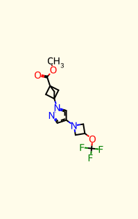 COC(=O)C12CC(n3cc(N4CC(OC(F)(F)F)C4)cn3)(C1)C2